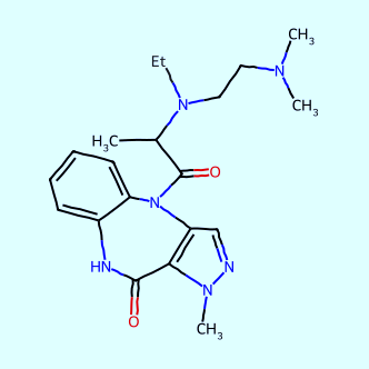 CCN(CCN(C)C)C(C)C(=O)N1c2ccccc2NC(=O)c2c1cnn2C